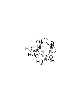 C[C@@H](O)[C@@H]1NC(=O)[C@@H]2CCCN2C(=O)[C@@H]2CCCN2C(=O)[C@H]([C@@H](C)O)NC1=O